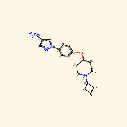 Nc1cnn(-c2ccc(OC3CCN(C4CCC4)CC3)cc2)c1